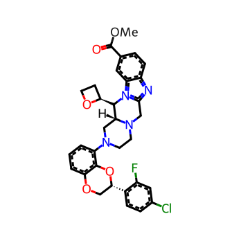 COC(=O)c1ccc2nc3n(c2c1)C([C@@H]1CCO1)[C@H]1CN(c2cccc4c2O[C@H](c2ccc(Cl)cc2F)CO4)CCN1C3